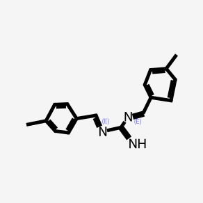 Cc1ccc(/C=N/C(=N)/N=C/c2ccc(C)cc2)cc1